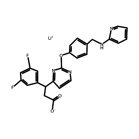 O=C([O-])CC(c1cc(F)cc(F)c1)c1ccnc(Oc2ccc(CNc3ccccn3)cc2)n1.[Li+]